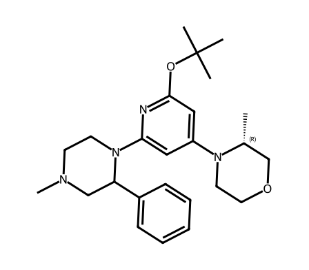 C[C@@H]1COCCN1c1cc(OC(C)(C)C)nc(N2CCN(C)CC2c2ccccc2)c1